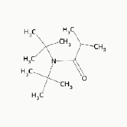 CC(C)C(=O)N(C(C)(C)C)C(C)(C)C